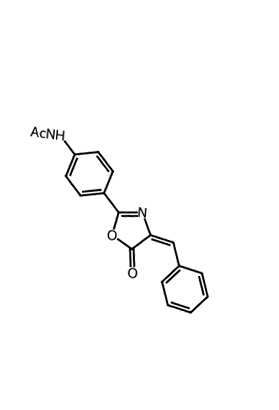 CC(=O)Nc1ccc(C2=N/C(=C/c3ccccc3)C(=O)O2)cc1